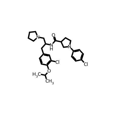 CC(C)Oc1ccc(CC(CN2CCCC2)NC(=O)C2CCN(c3ccc(Cl)cc3)C2)cc1Cl